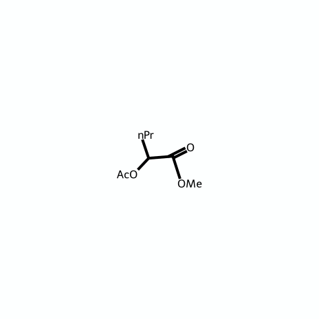 CCCC(OC(C)=O)C(=O)OC